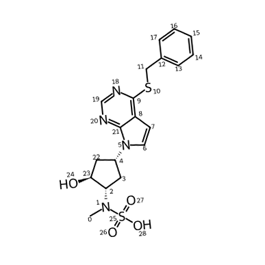 CN([C@H]1C[C@@H](n2ccc3c(SCc4ccccc4)ncnc32)C[C@@H]1O)S(=O)(=O)O